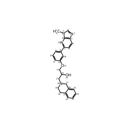 Cn1cnc2ccc(-c3cccc(OCC(O)CN4CCc5ccccc5C4)c3)nc21